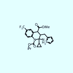 COC(=O)C1c2cc(C(F)(F)F)ccc2N(C(=O)OC(C)C)C(N)(C2CC2)C1Cc1cccs1